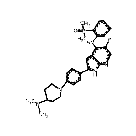 CN(C)C1CCN(c2ccc(-c3cc4c(Nc5ccccc5P(C)(C)=O)c(F)cnc4[nH]3)cc2)CC1